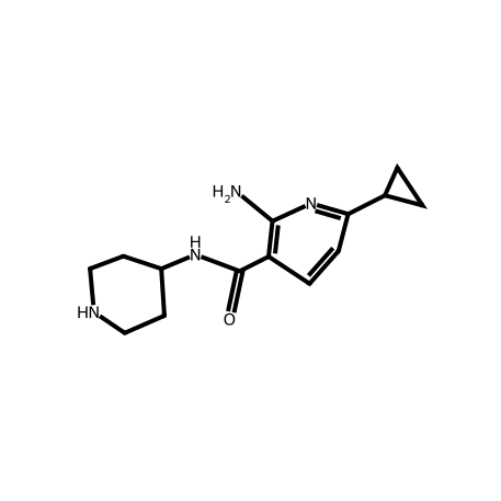 Nc1nc(C2CC2)ccc1C(=O)NC1CCNCC1